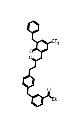 CCC(=O)c1cccc(Cc2ccc(CCC(=O)CC3=CC(C(F)(F)F)=CC(Cc4ccccc4)C3=O)cc2)c1